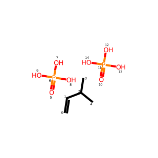 C=CC(C)C.O=P(O)(O)O.O=P(O)(O)O